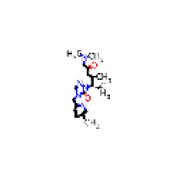 CC[C@@H]([C@H](C)CC(=O)CN(C)C)n1ncn(Cc2ccc(C)cn2)c1=O